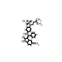 CN(C)CCN(c1ccc(N/C(=C2\C(=O)Nc3ccc(N)cc32)c2ccccc2)cc1)S(C)(=O)=O